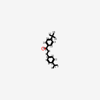 CC(C)c1ccc(CCC(=O)c2ccc(C(C)(C)C)cc2)cc1